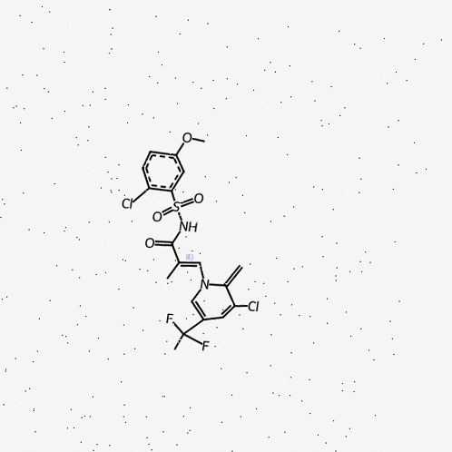 C=C1C(Cl)=CC(C(C)(F)F)=CN1/C=C(\C)C(=O)NS(=O)(=O)c1cc(OC)ccc1Cl